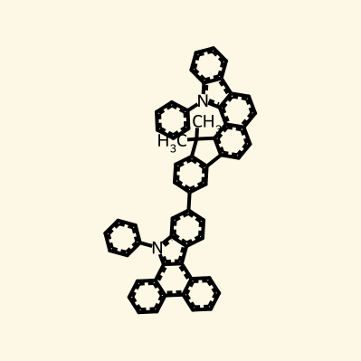 CC1(C)c2ccc(-c3ccc4c5c6ccccc6c6ccccc6c5n(-c5ccccc5)c4c3)cc2-c2ccc3ccc4c5ccccc5n(-c5ccccc5)c4c3c21